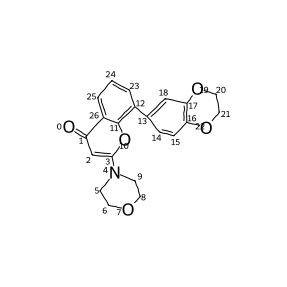 O=c1cc(N2CCOCC2)oc2c(-c3ccc4c(c3)OCCO4)cccc12